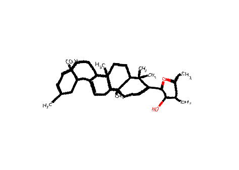 CC1CCC2(C(=O)O)CCC3C(=CCC4C3(C)CCC3C(C)(C)C(C5OC(C)C(C)C5O)CCC34C)C2C1